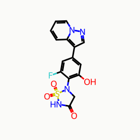 O=C1CN(c2c(O)cc(-c3cnn4ccccc34)cc2F)S(=O)(=O)N1